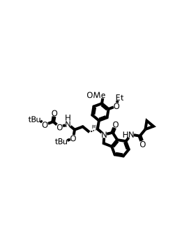 CCOc1cc([C@@H](CCC(NOC(=O)OC(C)(C)C)OC(C)(C)C)N2Cc3cccc(NC(=O)C4CC4)c3C2=O)ccc1OC